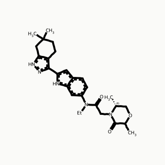 CCN(C(=O)CN1C(=O)C(C)OC[C@H]1C)c1ccc2cc(-c3n[nH]c4c3CCC(C)(C)C4)[nH]c2c1